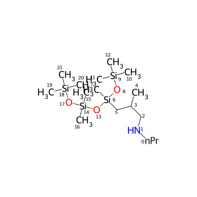 CCCNCC(C)C[Si](C)(O[Si](C)(C)C)O[Si](C)(C)O[Si](C)(C)C